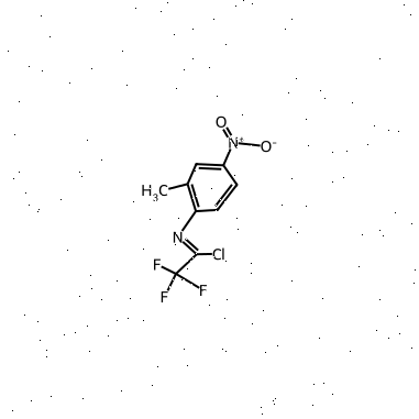 Cc1cc([N+](=O)[O-])ccc1N=C(Cl)C(F)(F)F